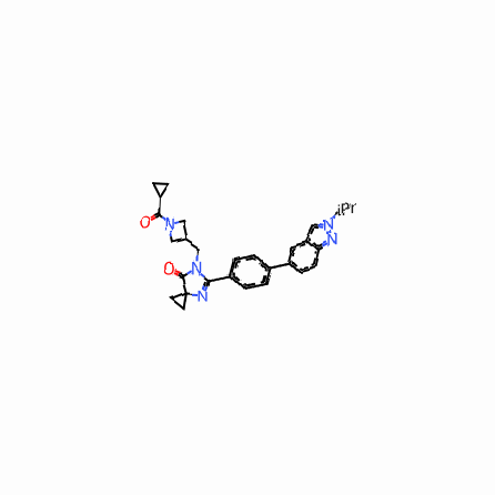 CC(C)n1cc2cc(-c3ccc(C4=NC5(CC5)C(=O)N4CC4CN(C(=O)C5CC5)C4)cc3)ccc2n1